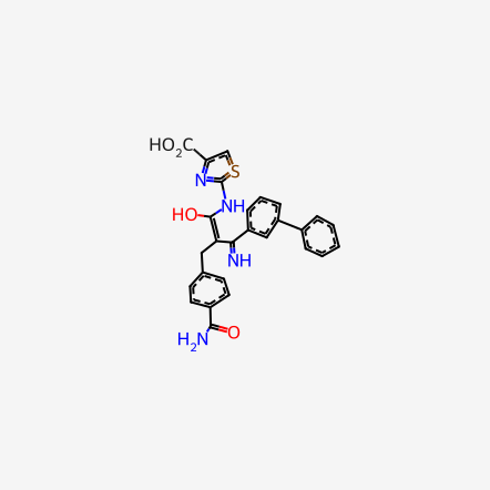 N=C(/C(Cc1ccc(C(N)=O)cc1)=C(/O)Nc1nc(C(=O)O)cs1)c1cccc(-c2ccccc2)c1